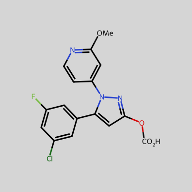 COc1cc(-n2nc(OC(=O)O)cc2-c2cc(F)cc(Cl)c2)ccn1